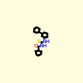 O=C(NC(=S)Nc1cccc(-c2ccccc2)c1)c1ccccc1